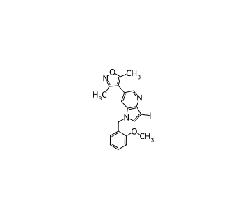 COc1ccccc1Cn1cc(I)c2ncc(-c3c(C)noc3C)cc21